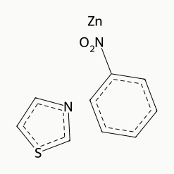 O=[N+]([O-])c1ccccc1.[Zn].c1cscn1